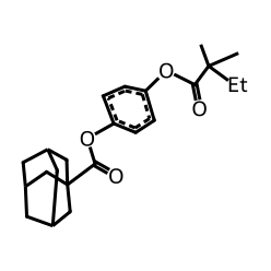 CCC(C)(C)C(=O)Oc1ccc(OC(=O)C23CC4CC(CC(C4)C2)C3)cc1